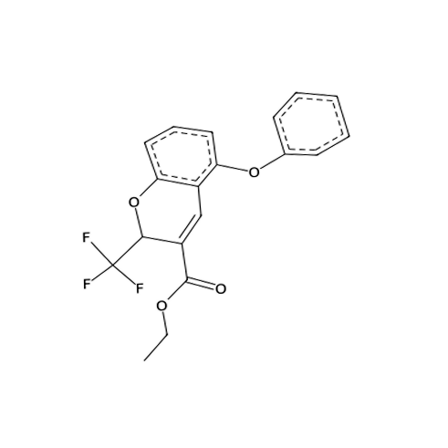 CCOC(=O)C1=Cc2c(Oc3ccccc3)cccc2OC1C(F)(F)F